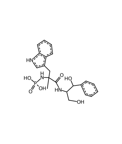 CC(Cc1c[nH]c2ccccc12)(NP(=O)(O)O)C(=O)NC(CO)C(O)c1ccccc1